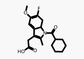 COC1=C(F)CC2C(=C1)C(CC(=O)O)=C(C)N2C(=O)C1CCCCC1